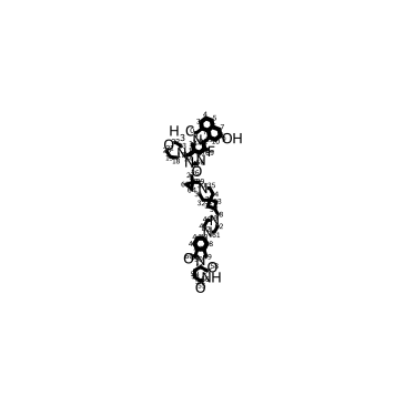 CCc1cccc2cc(O)cc(-c3ncc4c(N5CCCOCC5)nc(OCC5(CN6CCC7(CC6)CC(CN6CCN(c8ccc9c(c8)CN([C@H]8CCC(=O)NC8=O)C9=O)CC6)C7)CC5)nc4c3F)c12